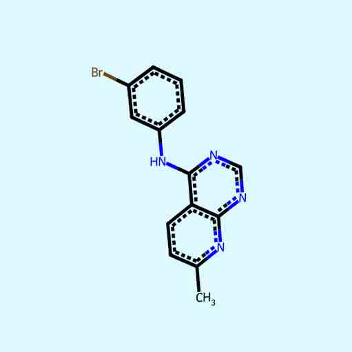 Cc1ccc2c(Nc3cccc(Br)c3)ncnc2n1